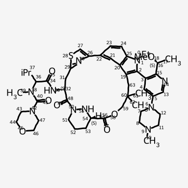 CCn1c(-c2cc(N3CCN(C)CC3)cnc2[C@H](C)OC)c2c3cc(ccc31)-c1csc(n1)C[C@H](NC(=O)C(C(C)C)N(C)C(=O)N1CCOCC1)C(=O)N1CCC[C@H](N1)C(=O)OCC(C)(C)C2